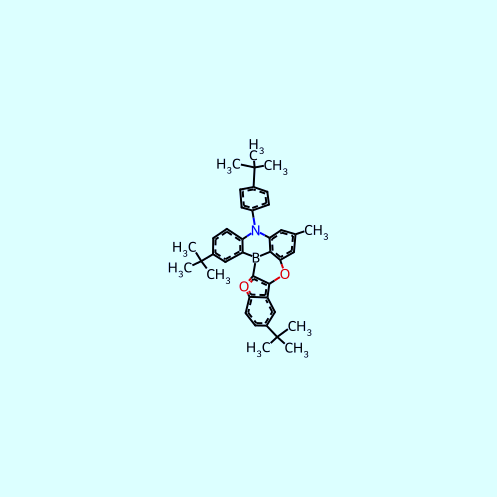 Cc1cc2c3c(c1)N(c1ccc(C(C)(C)C)cc1)c1ccc(C(C)(C)C)cc1B3c1oc3ccc(C(C)(C)C)cc3c1O2